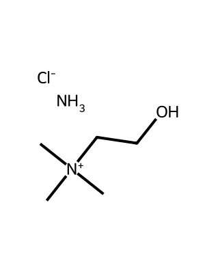 C[N+](C)(C)CCO.N.[Cl-]